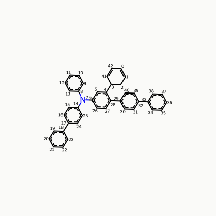 C1=CCC(c2cc(N(c3ccccc3)c3ccc(-c4ccccc4)cc3)ccc2-c2ccc(-c3ccccc3)cc2)C=C1